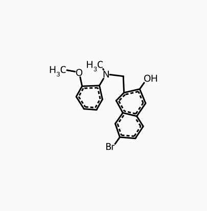 COc1ccccc1N(C)Cc1cc2cc(Br)ccc2cc1O